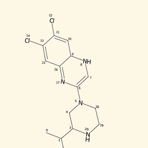 CC(C)C1CN(C2=CNC3C=C(Cl)C(Cl)=CC3=N2)CCN1